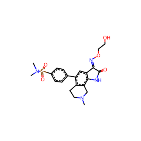 CN1CCc2c(-c3ccc(S(=O)(=O)N(C)C)cc3)cc3c(c2C1)NC(=O)C3=NOCCO